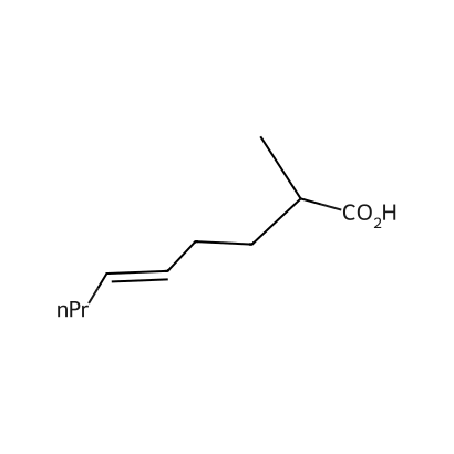 CCCC=CCCC(C)C(=O)O